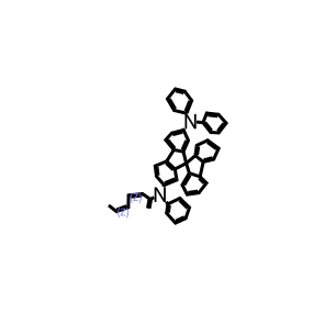 C=C(/C=C\C=C/C)N(c1ccccc1)c1ccc2c(c1)C1(c3ccccc3-c3ccccc31)c1cc(N(c3ccccc3)c3ccccc3)ccc1-2